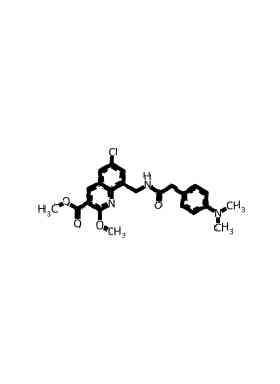 COC(=O)c1cc2cc(Cl)cc(CNC(=O)Cc3ccc(N(C)C)cc3)c2nc1OC